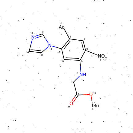 CC(=O)c1cc([N+](=O)[O-])c(NCC(=O)OC(C)(C)C)cc1-n1ccnc1